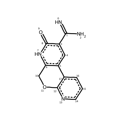 N=C(N)c1cc2c([nH]c1=O)COc1ncccc1-2